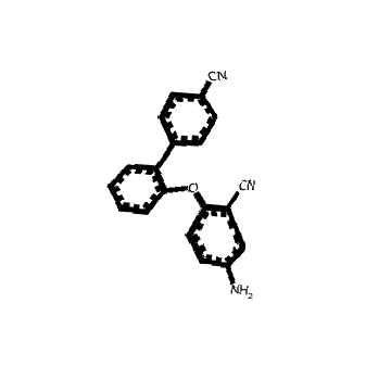 N#Cc1ccc(-c2ccccc2Oc2ccc(N)cc2C#N)cc1